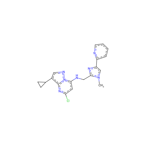 Cn1cc(-c2ccccn2)nc1CNc1cc(Cl)nc2c(C3CC3)cnn12